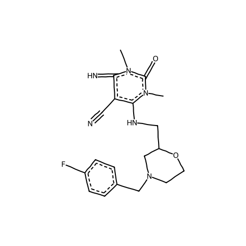 Cn1c(NCC2CN(Cc3ccc(F)cc3)CCO2)c(C#N)c(=N)n(C)c1=O